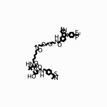 Cc1ncsc1-c1ccc(CNC(=O)[C@@H]2C[C@@H](O)CN2C(=O)[C@@H](NC(=O)CCCCCC(=O)N(C)CCOCCOCCNC(=O)c2ccc3c(c2)c2cn(C)nc2n3-c2ccc(C(F)(F)F)cc2)C(C)(C)C)cc1